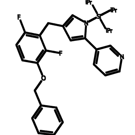 CC(C)[Si](C(C)C)(C(C)C)n1cc(Cc2c(F)ccc(OCc3ccccc3)c2F)cc1-c1cccnc1